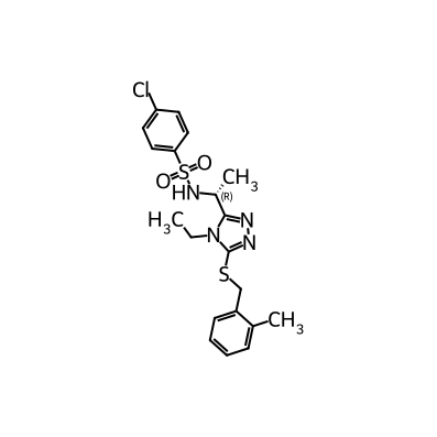 CCn1c(SCc2ccccc2C)nnc1[C@@H](C)NS(=O)(=O)c1ccc(Cl)cc1